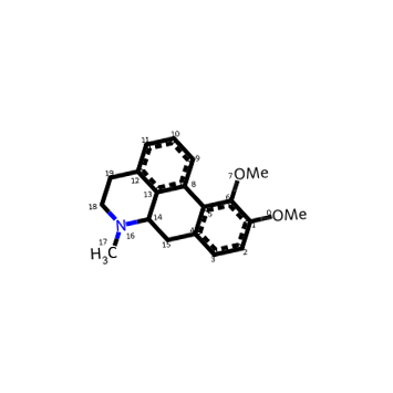 COc1ccc2c(c1OC)-c1cccc3c1C(C2)N(C)CC3